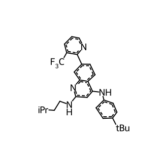 CC(C)CCNc1cc(Nc2ccc(C(C)(C)C)cc2)c2ccc(-c3ncccc3C(F)(F)F)cc2n1